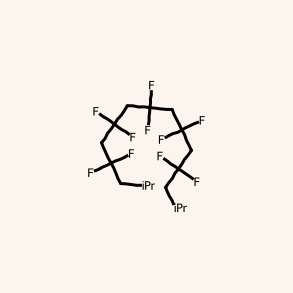 CC(C)CC(F)(F)CC(F)(F)CC(F)(F)CC(F)(F)CC(F)(F)CC(C)C